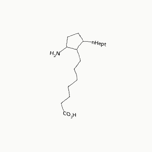 CCCCCCCC1CCC(N)C1CCCCCCC(=O)O